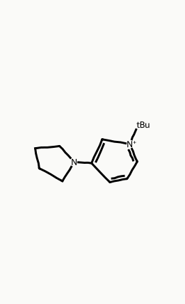 CC(C)(C)[n+]1cccc(N2CCCC2)c1